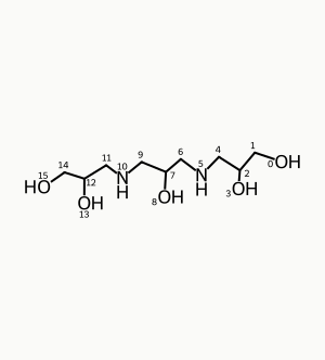 OCC(O)CNCC(O)CNCC(O)CO